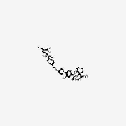 O=C(O)C1(NS(=O)(=O)c2cnc(N3CCC(CCCC4CCN(S(=O)(=O)c5cc(Br)c(Cl)s5)CC4)CC3)c(Br)c2)CCSCC1